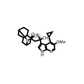 COc1cnc2[nH]cc(C(C)(F)CC(=O)N3C4CCC5C(C)CC3CC5C4)c2c1C1CC1